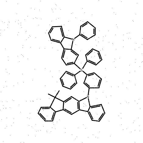 CC1(C)c2ccccc2-c2cc3c4ccccc4n(-c4cccc(S(c5ccccc5)(c5ccccc5)c5ccc6c7ccccc7n(-c7ccccc7)c6c5)c4)c3cc21